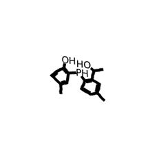 Cc1ccc(O)c(Pc2ccc(C)cc2C(C)O)c1